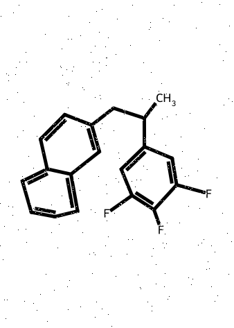 CC(Cc1ccc2ccccc2c1)c1cc(F)c(F)c(F)c1